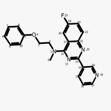 CN(CCOc1ccccc1)c1nc(-c2cccnc2)nc2ccc(F)cc12